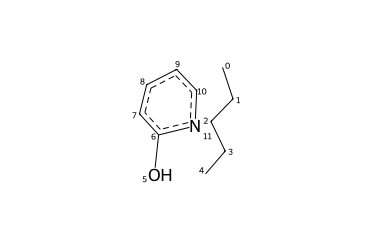 CCCCC.Oc1ccccn1